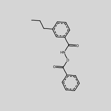 CCCc1cccc(C(=O)NOC(=O)c2ccccc2)c1